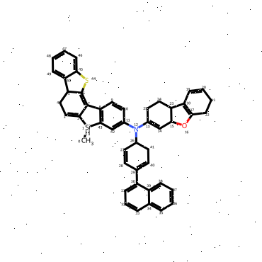 C[SiH]1C2=CCC3C(=C2c2ccc(N(C4=CC5OC6=C(C=CCC6)C5CC4)C4C=CC(c5cccc6ccccc56)=CC4)cc21)Sc1ccccc13